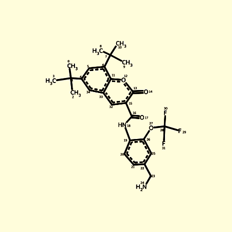 CC(C)(C)c1cc(C(C)(C)C)c2oc(=O)c(C(=O)Nc3ccc(CN)cc3OC(F)(F)F)cc2c1